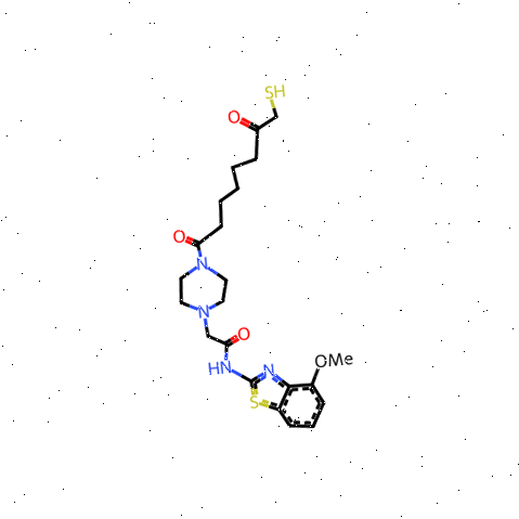 COc1cccc2sc(NC(=O)CN3CCN(C(=O)CCCCCC(=O)CS)CC3)nc12